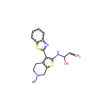 C=CC(O)Nc1sc2c(c1-c1nc3ccccc3s1)CCN(C(C)C)C2